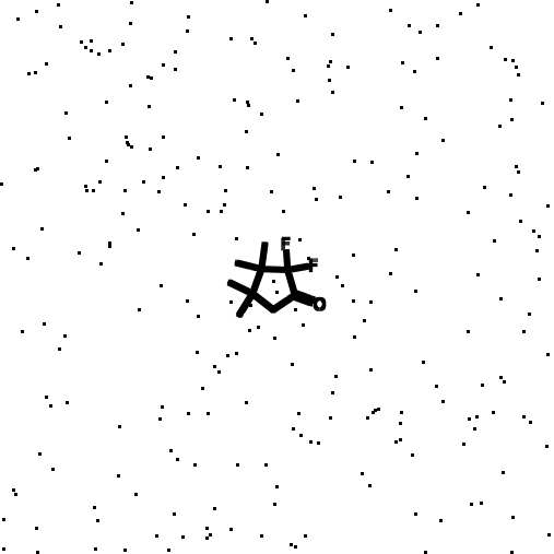 CC1(C)CC(=O)C(F)(F)C1(C)C